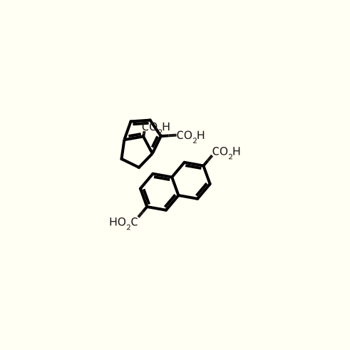 O=C(O)c1ccc2c(C(=O)O)c1CC2.O=C(O)c1ccc2cc(C(=O)O)ccc2c1